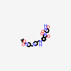 CC(C)(C)OC(=O)N1CCC(CN2CCC(CNc3ccc4c(c3)C(=O)N(C3CCC(=O)NC3=O)C4=O)CC2)CC1